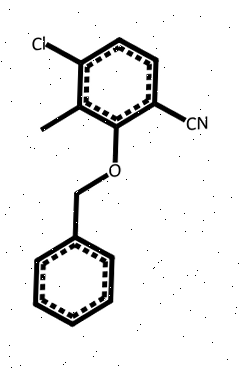 Cc1c(Cl)ccc(C#N)c1OCc1ccccc1